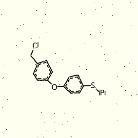 CC(C)Sc1ccc(Oc2ccc(CCl)cc2)cc1